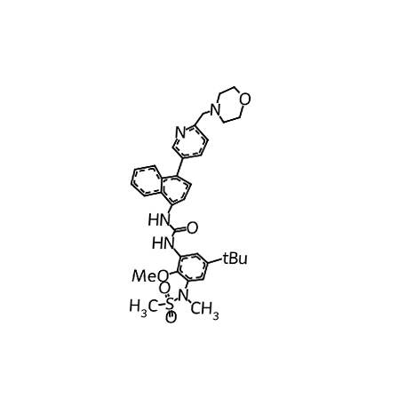 COc1c(NC(=O)Nc2ccc(-c3ccc(CN4CCOCC4)nc3)c3ccccc23)cc(C(C)(C)C)cc1N(C)S(C)(=O)=O